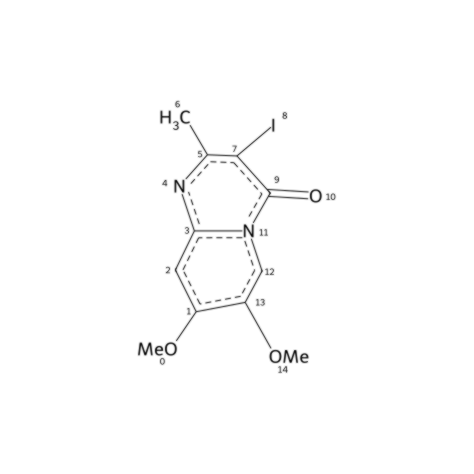 COc1cc2nc(C)c(I)c(=O)n2cc1OC